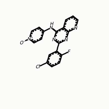 [O-][n+]1ccc(Nc2nc(-c3cc(Cl)ccc3F)nc3ncccc23)cc1